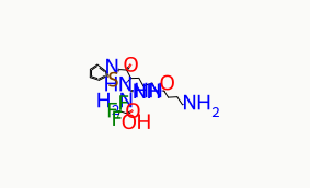 N=C(N)NC(CCCNC(=O)CCCN)C(=O)c1nc2ccccc2s1.O=C(O)C(F)(F)F